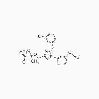 CC(C)(OCc1cc(-c2cccc(OC3CC3)c2)n(Cc2cccc(Cl)c2)n1)C(=O)O